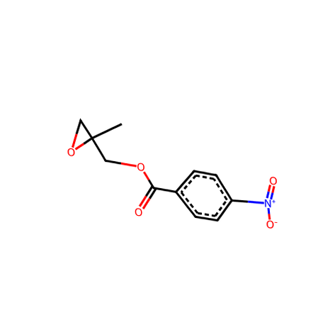 CC1(COC(=O)c2ccc([N+](=O)[O-])cc2)CO1